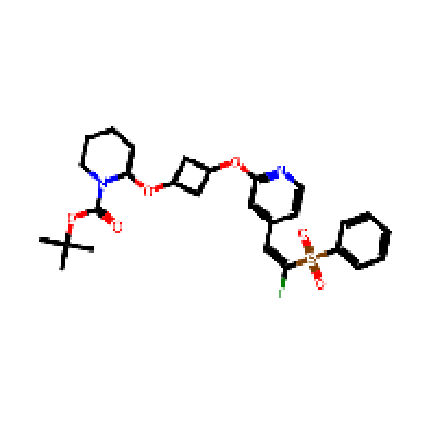 CC(C)(C)OC(=O)N1CCCCC1OC1CC(Oc2cc(C=C(F)S(=O)(=O)c3ccccc3)ccn2)C1